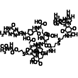 CONNC(=O)OCCSSC[C@H](NC(=O)[C@H](CC(=O)O)NC(=O)[C@H](CC(=O)O)NC(=O)[C@H](CC(=O)O)NC(=O)CC[C@H](NC(=O)c1ccc(NCc2cnc3nc(N)[nH]c(=O)c3n2)cc1)C(=O)O)C(=O)NC(CCCCNC(=O)CCSSCCNC1=C(C)C(=O)C2=C(C1=O)[C@@H](COC(N)=O)[C@@]1(OC)[C@H]3N[C@H]3CN21)C(=O)O